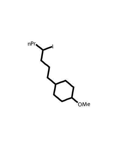 CCCC(I)CCCC1CCC(OC)CC1